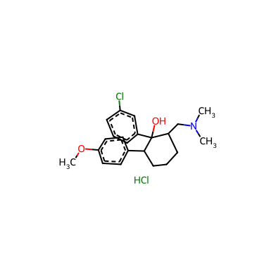 COc1ccc(C2CCCC(CN(C)C)C2(O)c2cccc(Cl)c2)cc1.Cl